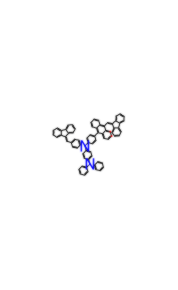 C(=C1c2ccccc2-c2ccccc21)c1ccc(N(c2ccc(-c3c4ccccc4c(C=C4c5ccccc5-c5ccccc54)c4ccccc34)cc2)c2ccc(N(c3ccccc3)c3ccccc3)cc2)cc1